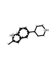 Cc1cc2cc(C3CCNCC3)ccc2[nH]1